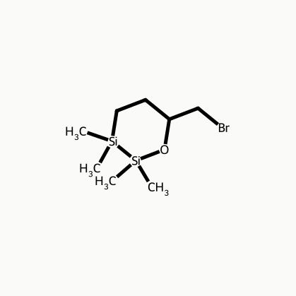 C[Si]1(C)CCC(CBr)O[Si]1(C)C